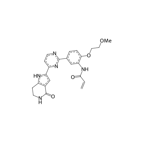 C=CC(=O)Nc1cc(-c2nccc(-c3cc4c([nH]3)CCNC4=O)n2)ccc1OCCOC